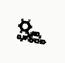 O=[C]OC(c1ccccc1)([N+](=O)[O-])[N+](=O)[O-]